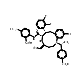 COc1cc(C(=O)O)ccc1NC(=O)[C@@H]1N/C(=C\C(C)(C)C)CCN([C@H](C)c2ccc(C(=O)O)cc2)c2cc(Cl)ccc2C[C@H]1c1cccc(Cl)c1F